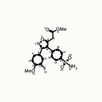 COC(=O)Cc1onc(-c2ccc(OC)c(F)c2)c1-c1ccc(S(N)(=O)=O)cc1